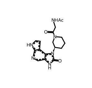 CC(=O)NCC(=O)N1CCC[C@@H](n2c(=O)[nH]c3cnc4[nH]ccc4c32)C1